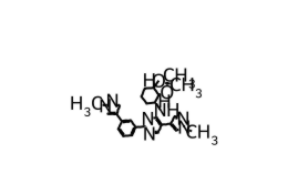 Cn1cc(-c2cccc(-c3ncc(-c4cnn(C)c4)c(N[C@H]4CCC[C@@H]5OC(C)(C)O[C@H]45)n3)c2)cn1